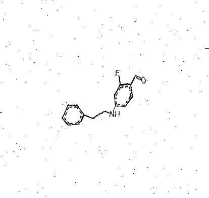 O=Cc1ccc(NCCc2ccccc2)cc1F